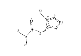 CC(C)C(=O)Cc1cncn1C